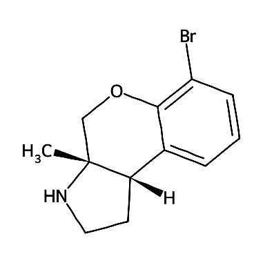 C[C@@]12COc3c(Br)cccc3[C@@H]1CCN2